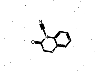 N#CN1C(=O)CCc2ccccc21